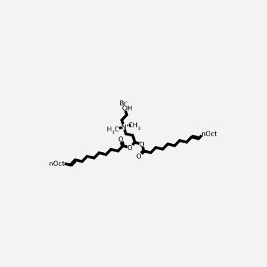 CCCCCCCCC=CCCCCCCCC(=O)OC(CC[N+](C)(C)CCO)OC(=O)CCCCCCCC=CCCCCCCCC.[Br-]